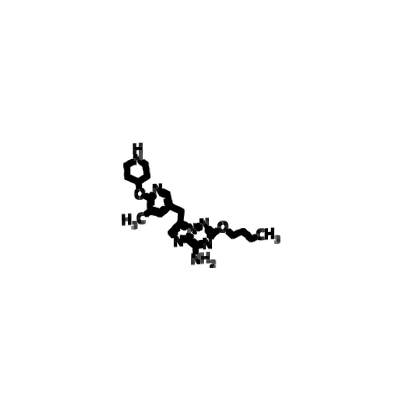 CCCCOc1nc(N)c2ncc(Cc3cnc(OC4CCNCC4)c(C)c3)n2n1